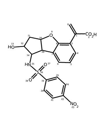 C=C(C(=O)O)c1cccc2c1OC1CC(O)C(NS(=O)(=O)c3ccc([N+](=O)[O-])cc3)C21